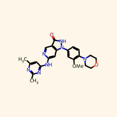 COc1cc(-n2[nH]c(=O)c3cnc(Nc4cc(C)nc(C)n4)cc32)ccc1N1CCOCC1